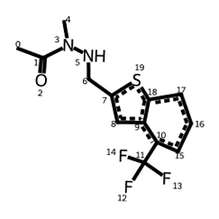 CC(=O)N(C)NCc1cc2c(C(F)(F)F)cccc2s1